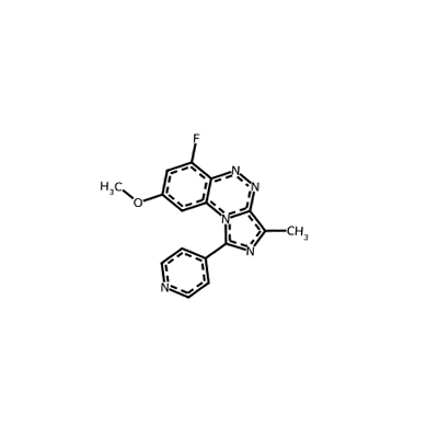 COc1cc(F)c2nnc3c(C)nc(-c4ccncc4)n3c2c1